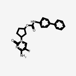 Nc1nc(=O)n(C2CCC(OC(=O)Nc3ccc(-c4ccccc4)cc3)C2)cc1F